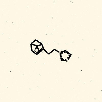 CC1(C)C2CC=C(CCn3ccnc3)C1C2